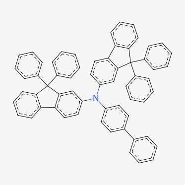 c1ccc(-c2ccc(N(c3ccc4c(c3)C(c3ccccc3)(c3ccccc3)c3ccccc3-4)c3ccc4c(c3)C(c3ccccc3)(c3ccccc3)c3ccccc3-4)cc2)cc1